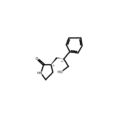 O=C1NCC[C@@H]1C[C@@H](CO)c1ccccc1